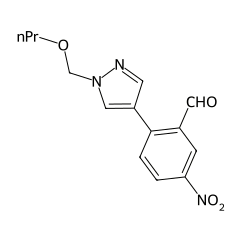 CCCOCn1cc(-c2ccc([N+](=O)[O-])cc2C=O)cn1